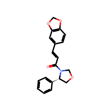 O=C(/C=C/c1ccc2c(c1)OCO2)N1COC[C@@H]1c1ccccc1